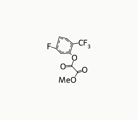 COC(=O)C(=O)Oc1cc(F)ccc1C(F)(F)F